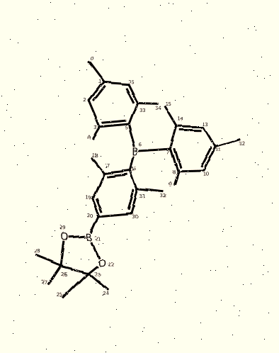 Cc1cc(C)c(B(c2c(C)cc(C)cc2C)c2c(C)cc(B3OC(C)(C)C(C)(C)O3)cc2C)c(C)c1